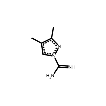 Cc1cn(C(=N)N)nc1C